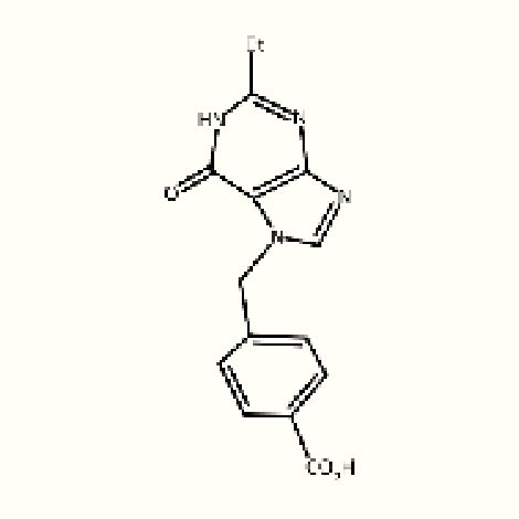 CCc1nc2ncn(Cc3ccc(C(=O)O)cc3)c2c(=O)[nH]1